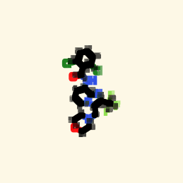 O=C(Nc1cccn2c(CN3CCOCC3)c(C(F)(F)F)nc12)c1c(Cl)cccc1Cl